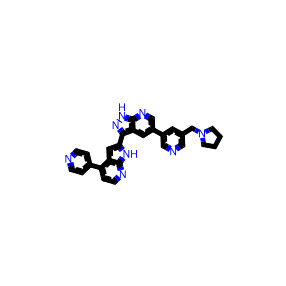 c1cc(-c2ccnc3[nH]c(-c4n[nH]c5ncc(-c6cncc(CN7CCCC7)c6)cc45)cc23)ccn1